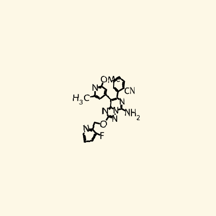 COc1cc(-c2c(-c3ccccc3C#N)nc(N)n3nc(OCc4ncccc4F)nc23)cc(C)n1